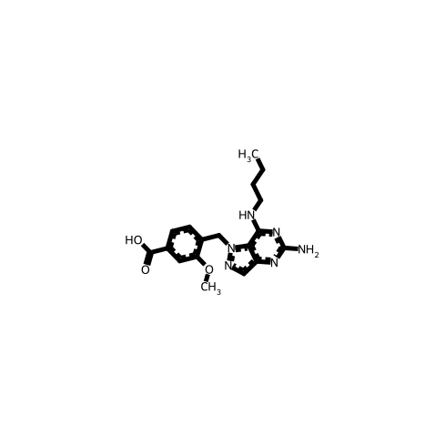 CCCCNc1nc(N)nc2cnn(Cc3ccc(C(=O)O)cc3OC)c12